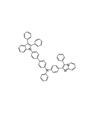 c1ccc(-c2c(-c3ccccc3)n(-c3ccc(-c4ccc(N(c5ccccc5)c5ccc(-c6nc7ccccn7c6-c6ccccc6)cc5)cc4)cc3)c3ccccc23)cc1